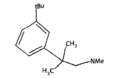 CNCC(C)(C)c1cccc(C(C)(C)C)c1